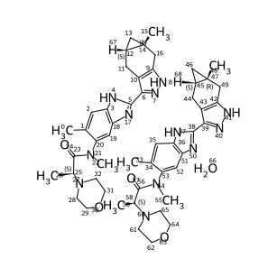 Cc1cc2[nH]c(-c3n[nH]c4c3C[C@@H]3C[C@]3(C)C4)nc2cc1N(C)C(=O)[C@H](C)N1CCOCC1.Cc1cc2[nH]c(-c3n[nH]c4c3C[C@@H]3C[C@]3(C)C4)nc2cc1N(C)C(=O)[C@H](C)N1CCOCC1.O